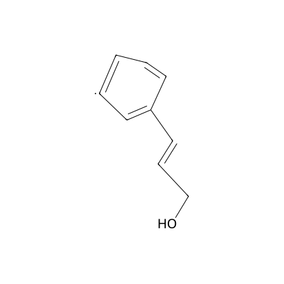 OCC=Cc1c[c]ccc1